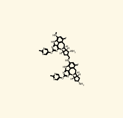 CNc1cc(F)c2c3c1[nH]c1nc(Oc4cnc(C)nc4)nc(c13)N1[C@@H](C2)[C@@H]2[C@H](N)C(CNc3cc(F)c4c5c3[nH]c3nc(Oc6cnc(C)nc6)nc(c35)N3[C@@H](C4)[C@@H]4C[C@H](N)C[C@@H]43)C[C@@H]21